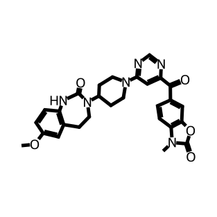 COc1ccc2c(c1)CCN(C1CCN(c3cc(C(=O)c4ccc5c(c4)oc(=O)n5C)ncn3)CC1)C(=O)N2